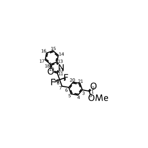 COC(=O)c1ccc(CC(F)(F)c2nc3ccccc3o2)cc1